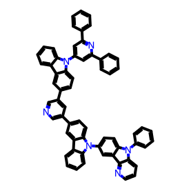 c1ccc(-c2cc(-n3c4ccccc4c4cc(-c5cncc(-c6ccc7c(c6)c6ccccc6n7-c6ccc7c(c6)c6ncccc6n7-c6ccccc6)c5)ccc43)cc(-c3ccccc3)n2)cc1